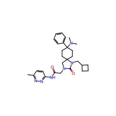 Cc1ccc(NC(=O)CN2CC3(CCC(c4ccccc4)(N(C)C)CC3)N(CC3CCC3)C2=O)nn1